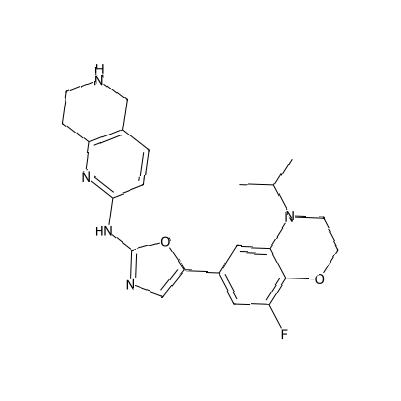 CC(C)N1CCOc2c(F)cc(-c3cnc(Nc4ccc5c(n4)CCNC5)o3)cc21